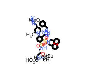 COc1ccc(Cn2nnc(-c3c(N4CCC(CN=[N+]=[N-])CC4C)ccc(S(=O)(=O)NC[C@@H](CNC(=O)O)O[Si](C)(C)C(C)(C)C)c3S(=O)(=O)N(Cc3ccccc3)Cc3ccccc3)n2)cc1